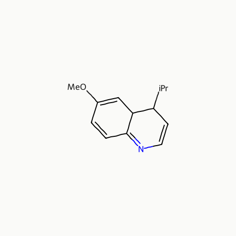 COC1=CC2C(=NC=CC2C(C)C)C=C1